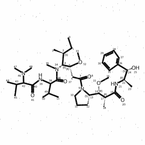 CC[C@H](C)[C@H]([C@@H](CC(=O)N1CCC[C@H]1[C@H](OC)[C@@H](C)C(=O)N[C@H](C)[C@@H](O)c1ccccc1)OC)N(C)C(=O)C(NC(=O)C(C(C)C)N(C)C)C(C)C